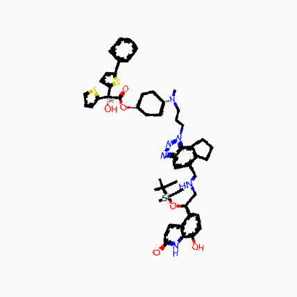 CN(CCCn1nnc2cc(CNCC(O[Si](C)(C)C(C)(C)C)c3ccc(O)c4[nH]c(=O)ccc34)c3c(c21)CCC3)[C@H]1CC[C@H](OC(=O)[C@@](O)(c2cccs2)c2ccc(-c3ccccc3)s2)CC1